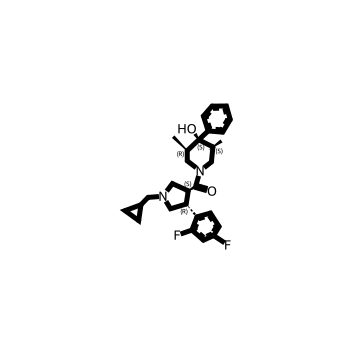 C[C@@H]1CN(C(=O)[C@@H]2CN(CC3CC3)C[C@H]2c2ccc(F)cc2F)C[C@H](C)[C@@]1(O)c1ccccc1